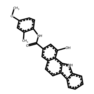 COc1ccc(NC(=O)c2cc(O)c3c(ccc4c5ccccc5[nH]c43)c2)c(C)c1